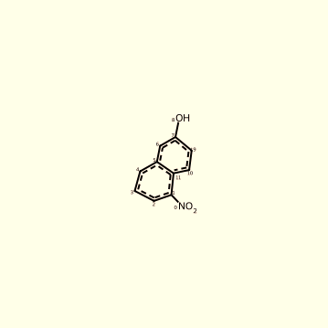 O=[N+]([O-])c1cccc2cc(O)[c]cc12